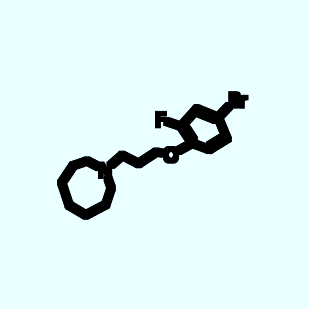 Fc1cc(Br)ccc1OCCCN1CCCCCCC1